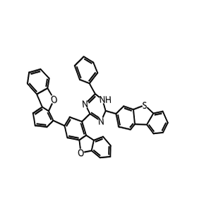 c1ccc(C2=NC(c3cc(-c4cccc5c4oc4ccccc45)cc4oc5ccccc5c34)=NC(c3ccc4c(c3)sc3ccccc34)N2)cc1